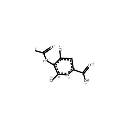 CC(=O)Nc1c(Cl)cc(C(=O)O)nc1Cl